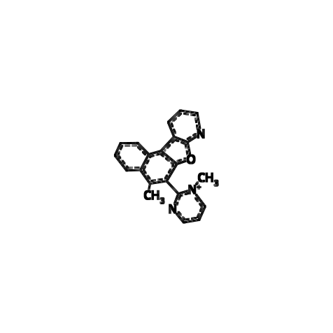 Cc1c(-c2nccc[n+]2C)c2oc3ncccc3c2c2ccccc12